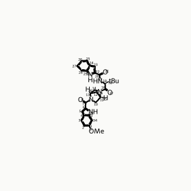 COc1ccc2cc(C(=O)N3C[C@@H]4C[C@H]3CN4C(=O)[C@@H](NC(=O)c3cc4ccccc4[nH]3)C(C)(C)C)[nH]c2c1